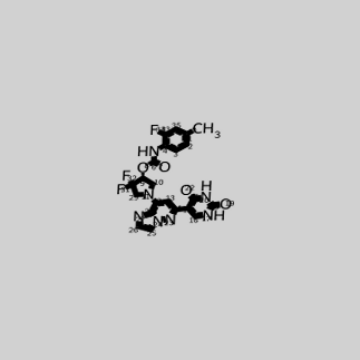 Cc1ccc(NC(=O)O[C@H]2CN(c3cc(-c4c[nH]c(=O)[nH]c4=O)nn4ccnc34)CC2(F)F)c(F)c1